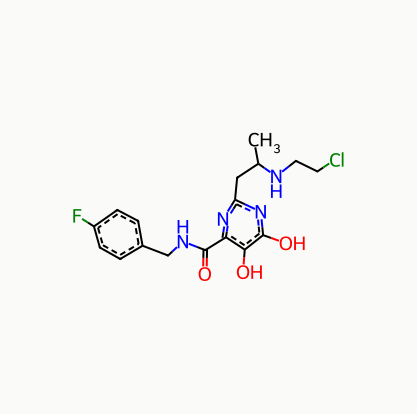 CC(Cc1nc(O)c(O)c(C(=O)NCc2ccc(F)cc2)n1)NCCCl